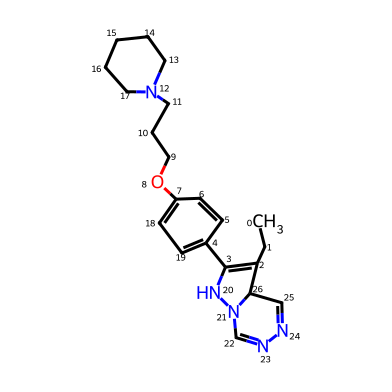 CCC1=C(c2ccc(OCCCN3CCCCC3)cc2)NN2C=NN=CC12